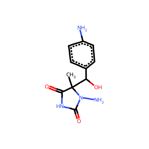 CC1(C(O)c2ccc(N)cc2)C(=O)NC(=O)N1N